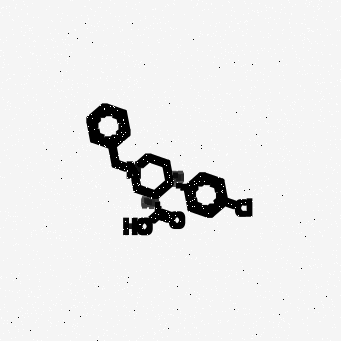 O=C(O)[C@@H]1CN(Cc2ccccc2)CC[C@@H]1c1ccc(Cl)cc1